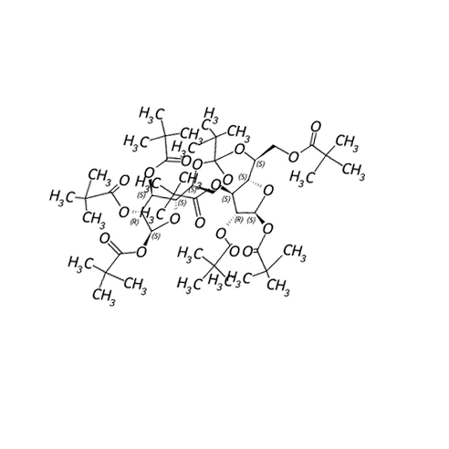 CC(C)(C)C(=O)OC[C@H](OC1(C(C)(C)C)OC[C@@H]([C@@H]2O[C@@H](OC(=O)C(C)(C)C)[C@H](OC(=O)C(C)(C)C)[C@H]2OC(=O)C(C)(C)C)O1)[C@@H]1O[C@@H](OC(=O)C(C)(C)C)[C@H](OC(=O)C(C)(C)C)[C@H]1OC(=O)C(C)(C)C